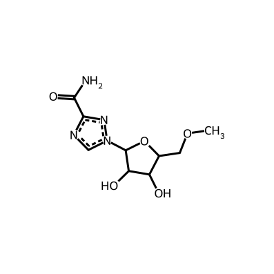 COCC1OC(n2cnc(C(N)=O)n2)C(O)C1O